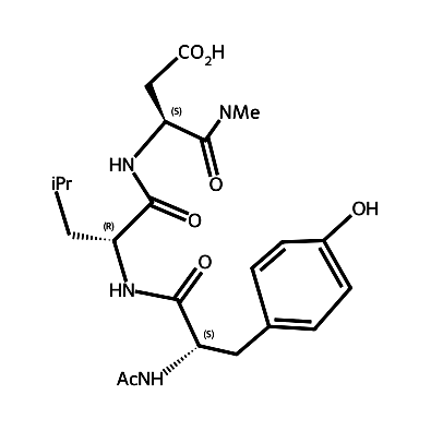 CNC(=O)[C@H](CC(=O)O)NC(=O)[C@@H](CC(C)C)NC(=O)[C@H](Cc1ccc(O)cc1)NC(C)=O